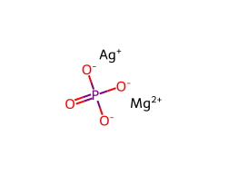 O=P([O-])([O-])[O-].[Ag+].[Mg+2]